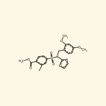 COC(=O)c1ccc(S(=O)(=O)N(Cc2ccc(OC)cc2OC)c2nccs2)cc1F